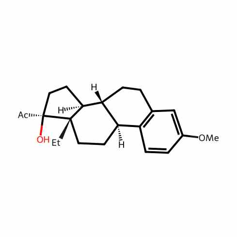 CC[C@]12CC[C@@H]3c4ccc(OC)cc4CC[C@H]3[C@@H]1CC[C@@]2(O)C(C)=O